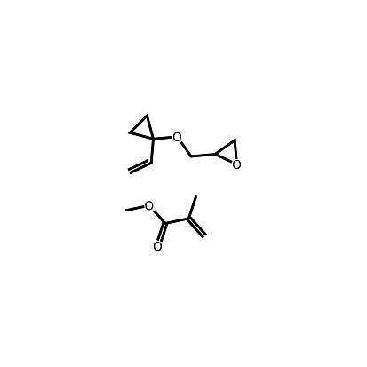 C=C(C)C(=O)OC.C=CC1(OCC2CO2)CC1